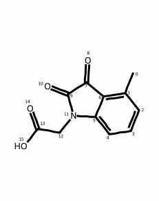 Cc1cccc2c1C(=O)C(=O)N2CC(=O)O